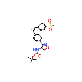 CC(C)(C)OC(=O)Nc1conc1-c1ccc(/C=C\c2ccc(S(C)(=O)=O)cc2)cc1